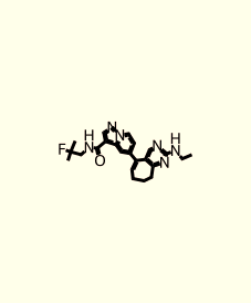 CCNc1ncc2c(n1)CCCC=C2c1ccn2ncc(C(=O)NCC(C)(C)F)c2c1